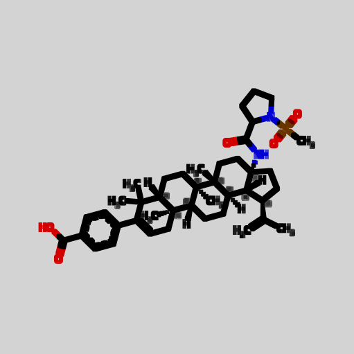 C=C(C)[C@@H]1CC[C@]2(NC(=O)C3CCCN3S(C)(=O)=O)CC[C@]3(C)[C@H](CC[C@@H]4[C@@]5(C)CC=C(c6ccc(C(=O)O)cc6)C(C)(C)[C@@H]5CC[C@]43C)[C@@H]12